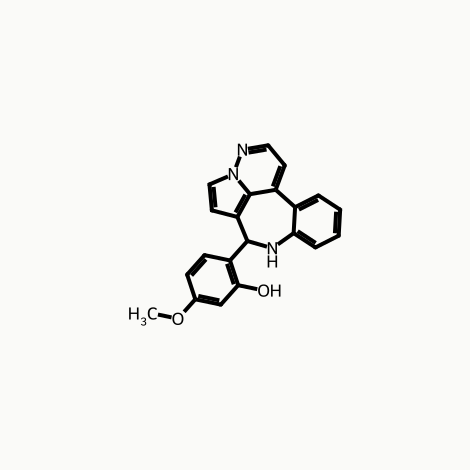 COc1ccc(C2Nc3ccccc3-c3ccnn4ccc2c34)c(O)c1